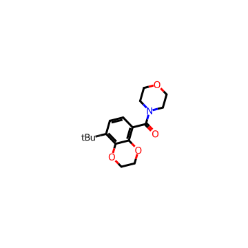 CC(C)(C)c1ccc(C(=O)N2CCOCC2)c2c1OCCO2